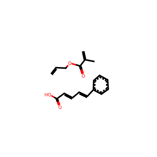 C=CCOC(=O)C(=C)C.O=C(O)C=CC=Cc1ccccc1